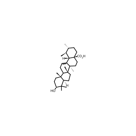 C[C@H]1[C@H](C)CC[C@]2(C(=O)O)CC[C@]3(C)C(=CCC4[C@@]5(C)CC[C@H](O)C(C)(C)[C@@H]5CC[C@]43C)[C@H]12